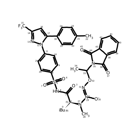 CC[C@@H](C)[C@@H](C(=O)NS(=O)(=O)c1ccc(-n2nc(C(F)(F)F)cc2-c2ccc(C)cc2)cc1)N(C)[N+]([O-])=NOC(C)N1C(=O)c2ccccc2C1=O